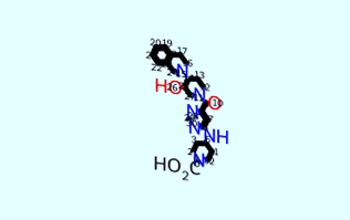 O=C(O)N1CCC(Nc2cc(C(=O)N3CCC(N4CCc5ccccc5C4)C(O)C3)ncn2)CC1